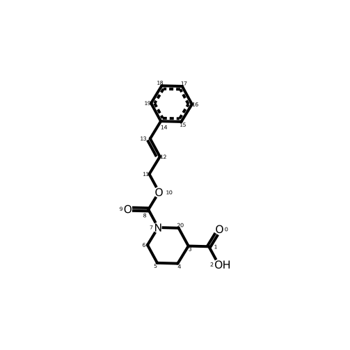 O=C(O)C1CCCN(C(=O)OCC=Cc2ccccc2)C1